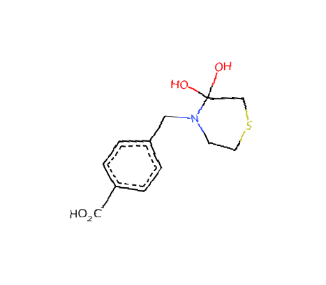 O=C(O)c1ccc(CN2CCSCC2(O)O)cc1